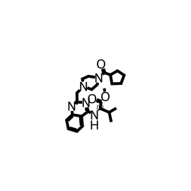 COC(=O)[C@@H](Nc1nc(CN2CCN(C(=O)C3CCCC3)CC2)nc2ccccc12)C(C)C